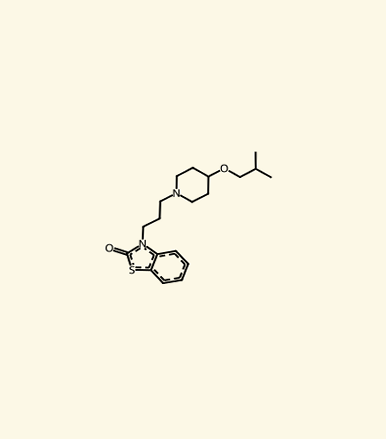 CC(C)COC1CCN(CCCn2c(=O)sc3ccccc32)CC1